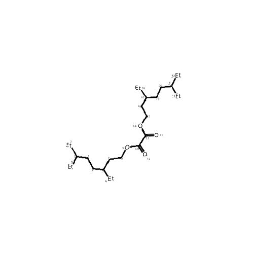 CCC(CC)CCC(CC)CCOC(=O)C(=O)OCCC(CC)CCC(CC)CC